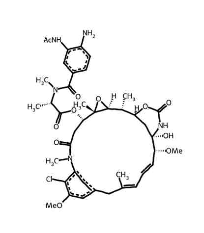 COc1cc2cc(c1Cl)N(C)C(=O)C[C@H](OC(=O)[C@H](C)N(C)C(=O)c1ccc(N)c(NC(C)=O)c1)[C@]1(C)O[C@H]1[C@H](C)[C@@H]1C[C@@](O)(NC(=O)O1)[C@H](OC)/C=C/C=C(\C)C2